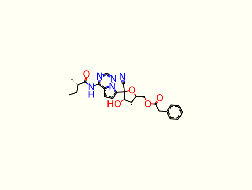 CC[C@H](C)C(=O)Nc1ncnn2c([C@]3(C#N)O[C@@H](COC(=O)Cc4ccccc4)[CH][C@H]3O)ccc12